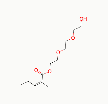 CCC=C(C)C(=O)OCCOCCOCCO